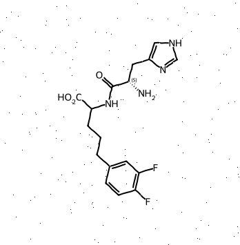 N[C@@H](Cc1c[nH]cn1)C(=O)NC(CCCc1ccc(F)c(F)c1)C(=O)O